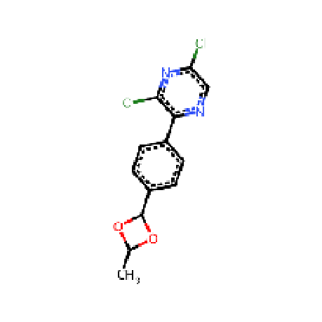 CC1OC(c2ccc(-c3ncc(Cl)nc3Cl)cc2)O1